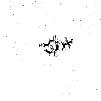 C=CS(=O)(=O)C=C.NCCS.O=C(O)C(F)(F)F